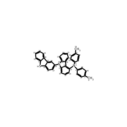 Cc1ccc(N(c2ccc(C)cc2)c2cccc3c2c2ccccc2n3-c2ccc3sc4ccccc4c3c2)cc1